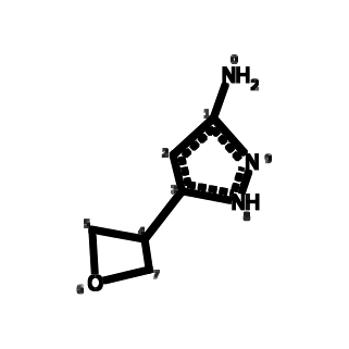 Nc1cc(C2COC2)[nH]n1